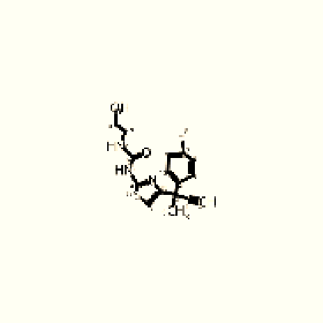 C#CC(C)(c1ccc(F)cc1)c1csc(NC(=O)NCCO)n1